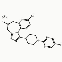 Fc1cnc(N2CCC(c3nnc4n3-c3ccc(Cl)cc3CN(CC(F)(F)F)C4)CC2)nc1